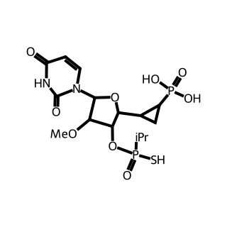 COC1C(OP(=O)(S)C(C)C)C(C2CC2P(=O)(O)O)OC1n1ccc(=O)[nH]c1=O